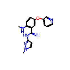 CNc1ccc(Oc2cccnc2)cc1C(=N)Nc1ccn(C)n1